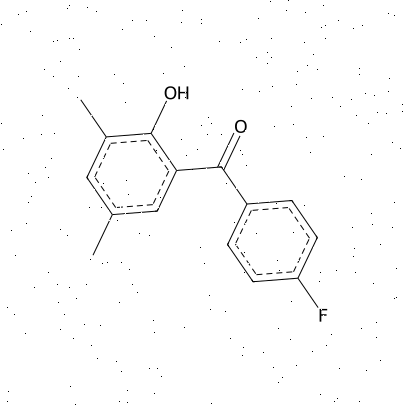 Cc1cc(C)c(O)c(C(=O)c2ccc(F)cc2)c1